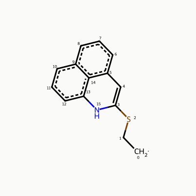 [CH2]CSC1=Cc2cccc3cccc(c23)N1